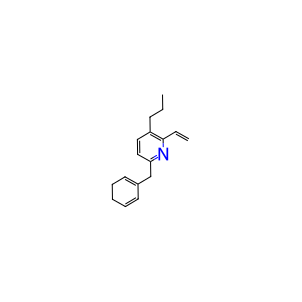 C=Cc1nc(CC2=CCCC=C2)ccc1CCC